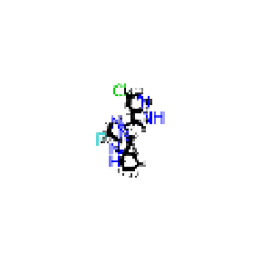 C#CC1(Nc2nc(-c3c[nH]c4ncc(Cl)cc34)ncc2F)CCCCC1